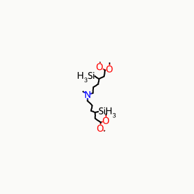 COC(CC([SiH3])CCCN(C)CCCC([SiH3])CC(OC)OC)OC